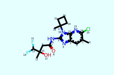 Cc1cc2nc(NC(=O)CC(C)(O)C(F)F)n(C3(C)CCC3)c2nc1Cl